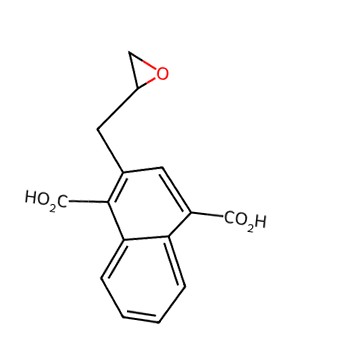 O=C(O)c1cc(CC2CO2)c(C(=O)O)c2ccccc12